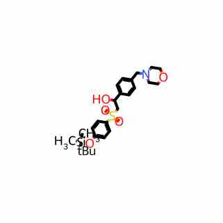 CC(C)(C)[Si](C)(C)Oc1ccc(S(=O)(=O)CC(O)c2ccc(CN3CCOCC3)cc2)cc1